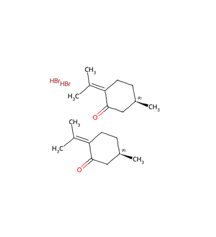 Br.Br.CC(C)=C1CC[C@@H](C)CC1=O.CC(C)=C1CC[C@@H](C)CC1=O